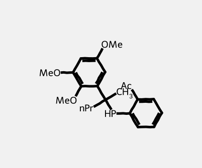 CCCC(C)(Pc1ccccc1C(C)=O)c1cc(OC)cc(OC)c1OC